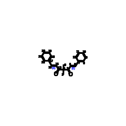 CC(C)(C(=O)/C=C/c1ccccc1)C(=O)/C=C/c1ccccc1